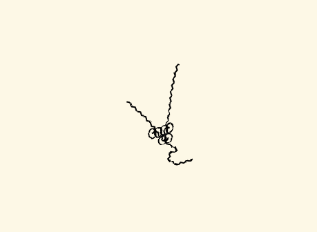 CCCCC/C=C\C/C=C\C/C=C\C/C=C\CCCC(=O)O[C@H](COC(=O)CCCCCCCCCCCC)COC(=O)CCCCCCCCCCCCCCCCCCCC